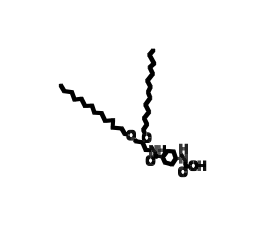 CCCCCCCCCCCCCCOCC(CNC(=O)[C@H]1CC[C@H](NC(=O)O)CC1)OCCCCCCCCCCCCCC